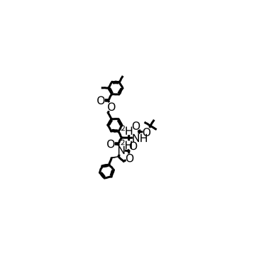 [2H]C([2H])(NC(=O)OC(C)(C)C)C(C(=O)N1C(=O)OC[C@H]1Cc1ccccc1)c1ccc(COC(=O)c2ccc(C)cc2C)cc1